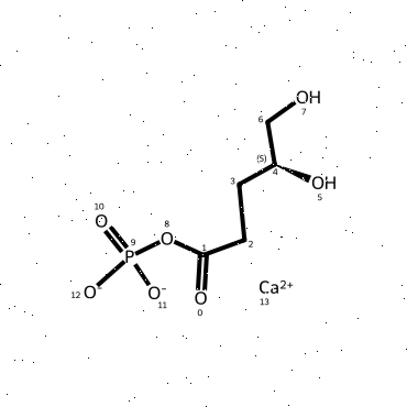 O=C(CC[C@H](O)CO)OP(=O)([O-])[O-].[Ca+2]